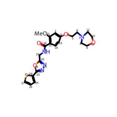 COc1cc(OCCN2CCOCC2)ccc1C(=O)NCc1nnc(-c2cccs2)o1